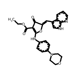 CCOC(=O)C1=C(Nc2ccc(N3CCOCC3)cc2)OC(=Cc2c[nH]c3ncccc23)C1=O